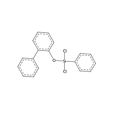 Cl[Si](Cl)(Oc1ccccc1-c1ccccc1)c1ccccc1